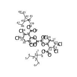 CCC1C(CC)C1(C)COC(=O)c1c(Cl)c(Cl)cc(Cl)c1OC(=O)C(=O)Oc1c(Cl)cc(Cl)c(Cl)c1C(=O)OCC1(C)C(CC)C1CC